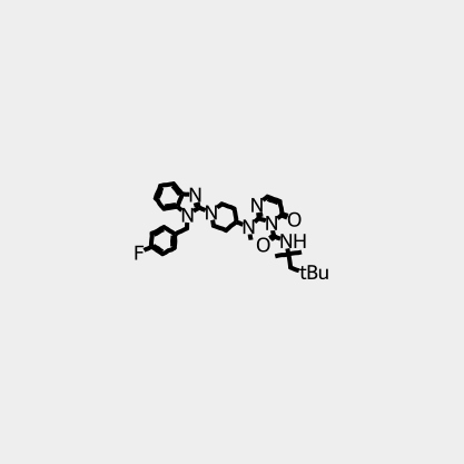 CN(c1nccc(=O)n1C(=O)NC(C)(C)CC(C)(C)C)C1CCN(c2nc3ccccc3n2Cc2ccc(F)cc2)CC1